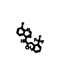 CC(Cc1ccccc1C(F)(F)F)Nc1ncnc2c(F)cccc12